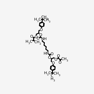 C=C(C)C(=O)OCC(COc1ccc(C(C)(C)C)cc1)OC(=O)NCCCCCCNC(=O)OC(COC(=O)C(C)=O)COc1ccc(C(C)(C)C)cc1